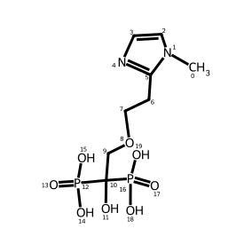 Cn1ccnc1CCOCC(O)(P(=O)(O)O)P(=O)(O)O